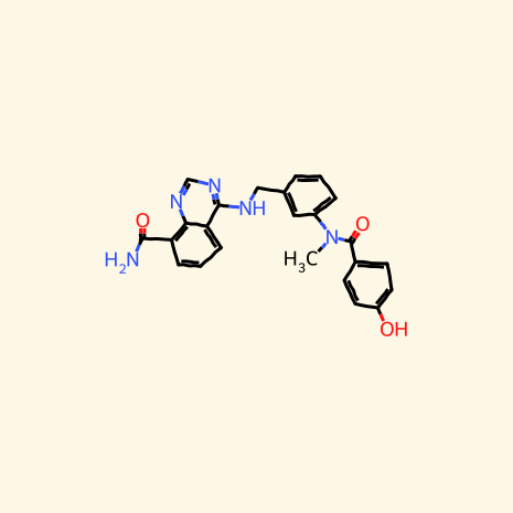 CN(C(=O)c1ccc(O)cc1)c1cccc(CNc2ncnc3c(C(N)=O)cccc23)c1